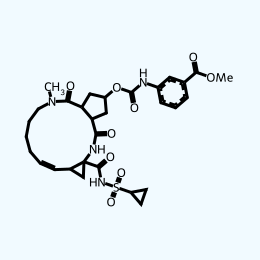 COC(=O)c1cccc(NC(=O)OC2CC3C(=O)NC4(C(=O)NS(=O)(=O)C5CC5)CC4C=CCCCCN(C)C(=O)C3C2)c1